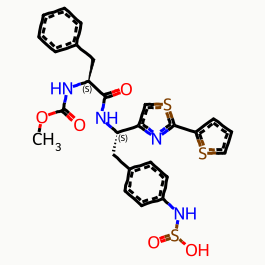 COC(=O)N[C@@H](Cc1ccccc1)C(=O)N[C@@H](Cc1ccc(NS(=O)O)cc1)c1csc(-c2cccs2)n1